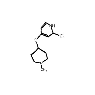 CN1CCC(OC2=CC(Cl)NC=C2)CC1